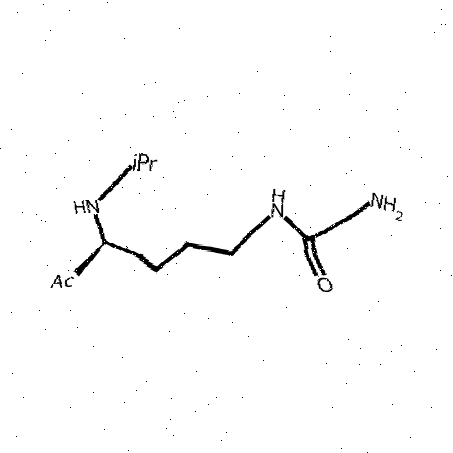 CC(=O)[C@H](CCCNC(N)=O)NC(C)C